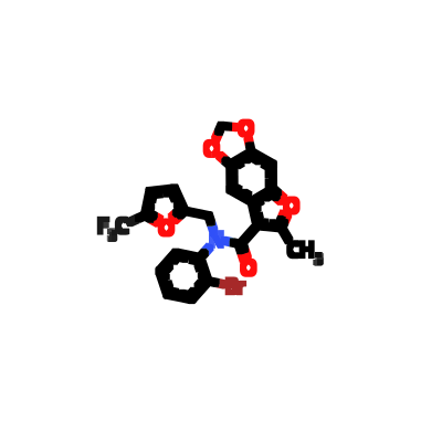 Cc1oc2cc3c(cc2c1C(=O)N(Cc1ccc(C(F)(F)F)o1)c1ccccc1Br)OCO3